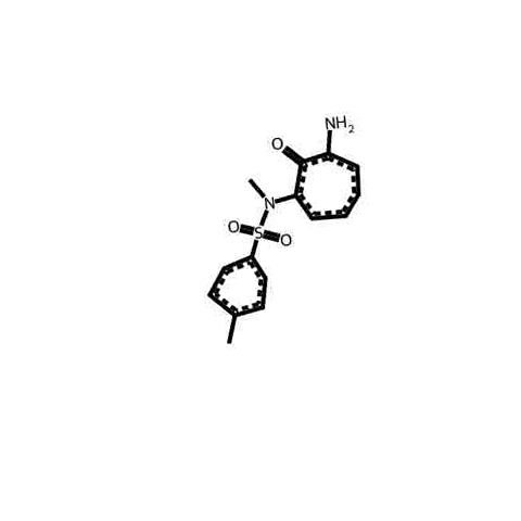 Cc1ccc(S(=O)(=O)N(C)c2ccccc(N)c2=O)cc1